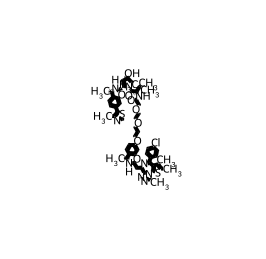 Cc1ncsc1-c1ccc([C@H](C)NC(=O)[C@@H]2C[C@@H](O)CN2C(=O)[C@@H](NC(=O)COCCOCCCOc2ccc([C@H](C)NC(=O)CC3N=C(c4ccc(Cl)cc4)c4c(sc(C)c4C)-n4c(C)nnc43)cc2)C(C)(C)C)cc1